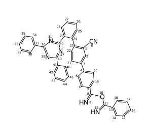 N#Cc1cc(-c2ccc(C(=N)OC(=N)c3ccccc3)cc2)ccc1-c1ccccc1-c1nc(-c2ccccc2)nc(-c2ccccc2)n1